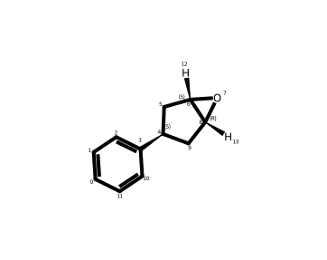 c1ccc([C@H]2C[C@@H]3O[C@@H]3C2)cc1